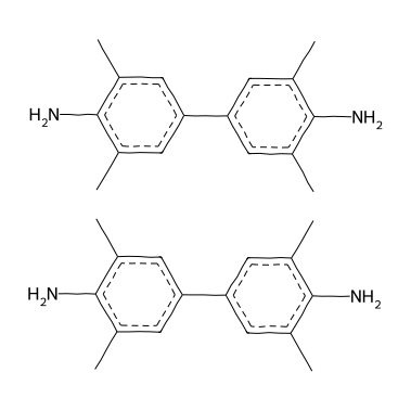 Cc1cc(-c2cc(C)c(N)c(C)c2)cc(C)c1N.Cc1cc(-c2cc(C)c(N)c(C)c2)cc(C)c1N